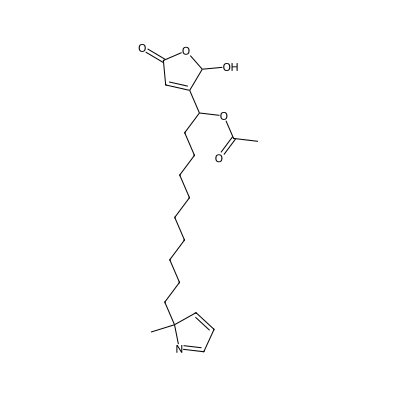 CC(=O)OC(CCCCCCCCCC1(C)C=CC=N1)C1=CC(=O)OC1O